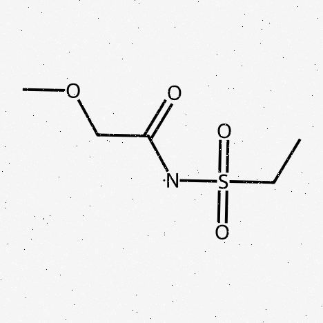 CCS(=O)(=O)[N]C(=O)COC